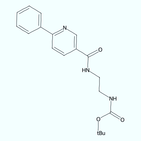 CC(C)(C)OC(=O)NCCNC(=O)c1ccc(-c2ccccc2)nc1